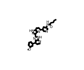 CCCCC(=O)Nc1cncc(-c2ccc3[nH]nc(-c4nc5c(-c6cccc(OC)c6)ccnc5[nH]4)c3n2)c1